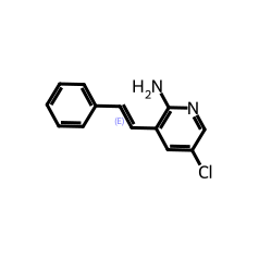 Nc1ncc(Cl)cc1/C=C/c1ccccc1